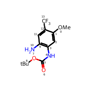 COc1cc(NC(=O)OC(C)(C)C)c(N)cc1C(F)(F)F